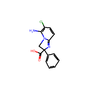 NC1=C(Cl)C=CC2=NC(C(=O)O)(c3ccccc3)CN21